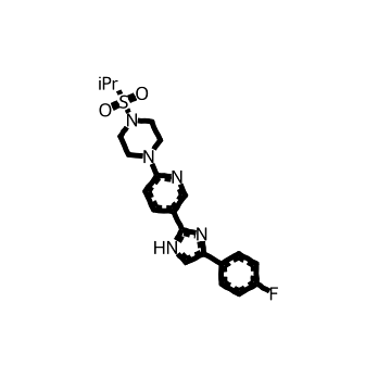 CC(C)S(=O)(=O)N1CCN(c2ccc(-c3nc(-c4ccc(F)cc4)c[nH]3)cn2)CC1